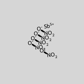 O=[N+]([O-])[O-].O=[N+]([O-])[O-].O=[N+]([O-])[O-].O=[N+]([O-])[O-].O=[N+]([O-])[O-].[Sb+5]